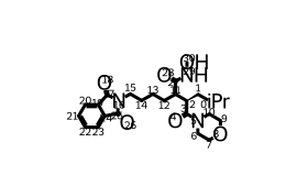 CC(C)C[C@@H](C(=O)N1CCOCC1)C(CCCCN1C(=O)c2ccccc2C1=O)C(=O)NO